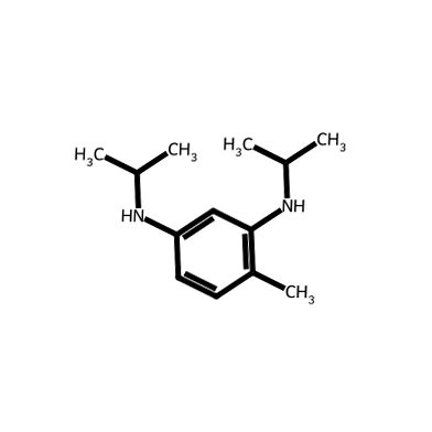 Cc1ccc(NC(C)C)cc1NC(C)C